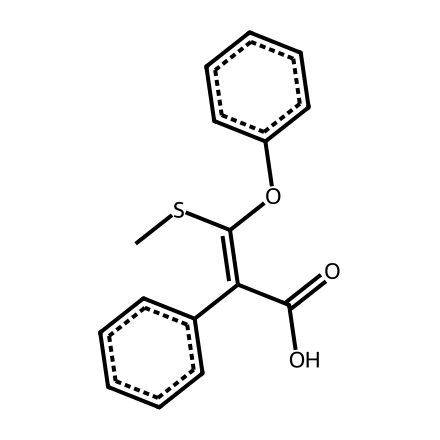 CSC(Oc1ccccc1)=C(C(=O)O)c1ccccc1